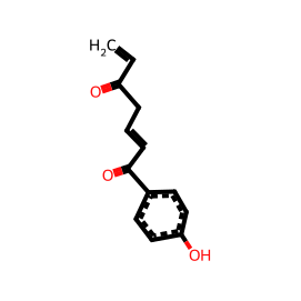 C=CC(=O)CC=CC(=O)c1ccc(O)cc1